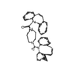 O=C(N1CCN(C(=O)N2c3ccccc3C=Cc3ccccc32)CC1)N1c2ccccc2C=Cc2ccccc21